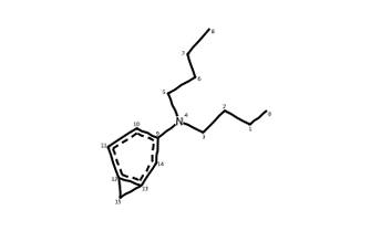 CCCCN(CCCC)c1ccc2c(c1)C2